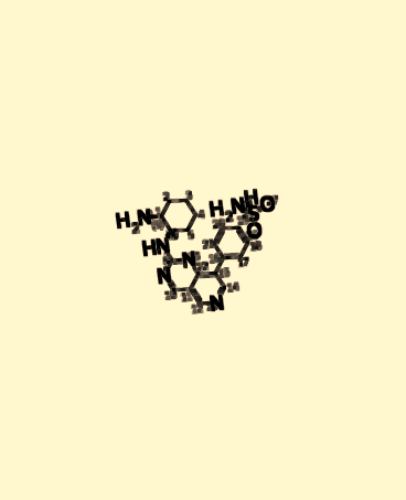 N[C@H]1CCCC[C@H]1Nc1ncc2cncc(-c3ccccc3)c2n1.N[SH](=O)=O